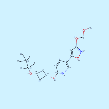 COCOc1cc(-c2ccc(O[C@H]3C[C@@H](O[Si](C)(C)C(C)(C)C)C3)nc2)on1